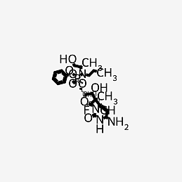 C#C[C@]1(C)[C@H](O)[C@@H](CO[P@@](=O)(Oc2ccccc2)N(CCC)C(C)C(=O)O)O[C@@]1(F)N1C=CC(N)NC1=O